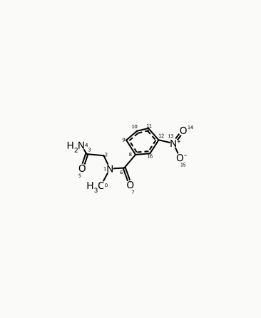 CN(CC(N)=O)C(=O)c1cccc([N+](=O)[O-])c1